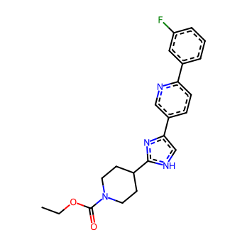 CCOC(=O)N1CCC(c2nc(-c3ccc(-c4cccc(F)c4)nc3)c[nH]2)CC1